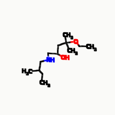 CCOC(C)(C)CC(O)CNCC(C)CC